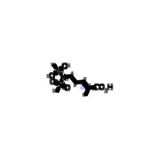 C/C(=C\CCN(S(C)(=O)=O)S(C)(=O)=O)C(=O)O